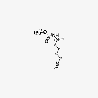 C#CCCCCN(C)NC(=O)OC(C)(C)C